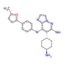 Cc1ccc(-c2ccc([N]c3c4nccn4nc([NH])c3[C@H]3CC[C@H](N)CC3)cc2)o1